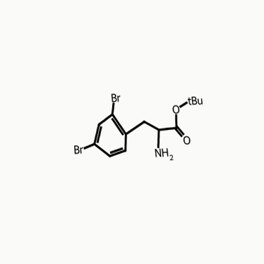 CC(C)(C)OC(=O)C(N)Cc1ccc(Br)cc1Br